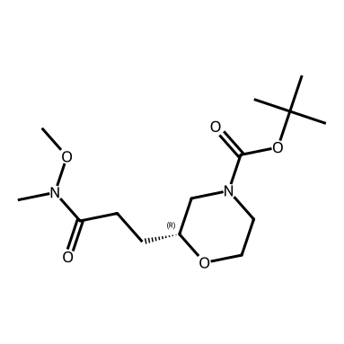 CON(C)C(=O)CC[C@@H]1CN(C(=O)OC(C)(C)C)CCO1